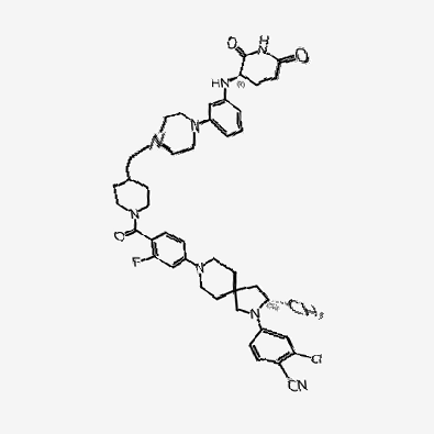 C[C@H]1CC2(CCN(c3ccc(C(=O)N4CCC(CN5CCN(c6cccc(N[C@@H]7CCC(=O)NC7=O)c6)CC5)CC4)c(F)c3)CC2)CN1c1ccc(C#N)c(Cl)c1